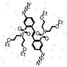 CCOCCN(CCOCC)S(=O)(=O)c1cc(N=[N+]=[N-])ccc1/C=C/c1ccc(N=[N+]=[N-])cc1S(=O)(=O)N(CCOCC)CCOCC